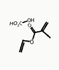 C=COC(=O)C(=C)C.O=C(O)O